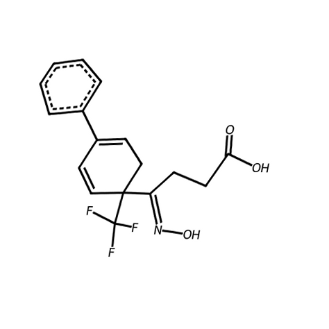 O=C(O)CCC(=NO)C1(C(F)(F)F)C=CC(c2ccccc2)=CC1